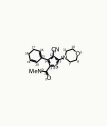 CNC(=O)c1sc(N2CCOCC2)c(C#N)c1C1=CCCC=C1